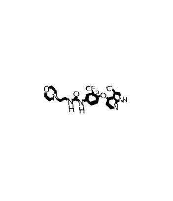 O=C(NCCN1CCOCC1)Nc1ccc(Oc2ccnc3[nH]cc(Cl)c23)c(C(F)(F)F)c1